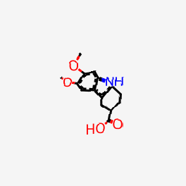 COc1cc2[nH]c3c(c2cc1OC)CC(C(=O)O)CC3